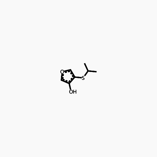 CC(C)Sc1cocc1O